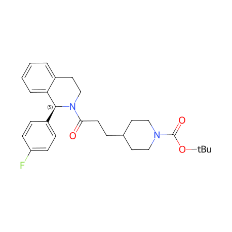 CC(C)(C)OC(=O)N1CCC(CCC(=O)N2CCc3ccccc3[C@@H]2c2ccc(F)cc2)CC1